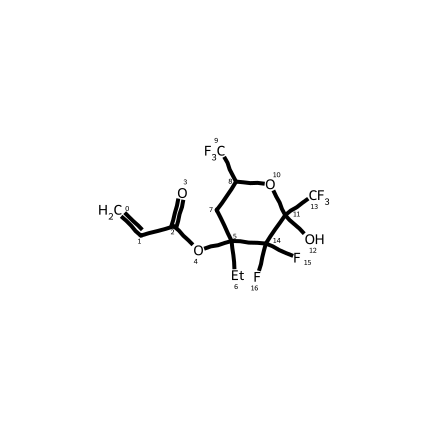 C=CC(=O)OC1(CC)CC(C(F)(F)F)OC(O)(C(F)(F)F)C1(F)F